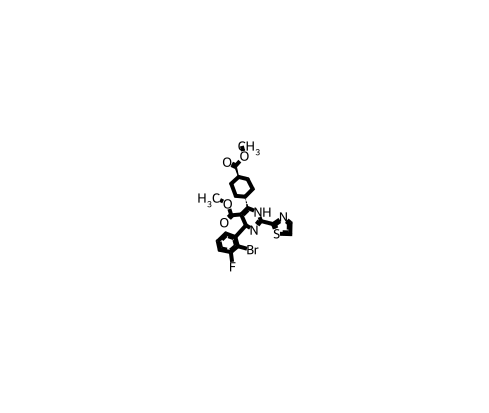 COC(=O)C1=C([C@H]2CC[C@H](C(=O)OC)CC2)NC(c2nccs2)=NC1c1cccc(F)c1Br